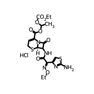 CCO/N=C(/C(=O)NC1C(=O)N2C(C(=O)OC(C)OC(=O)OCC)=CCS[C@H]12)c1csc(N)n1.Cl